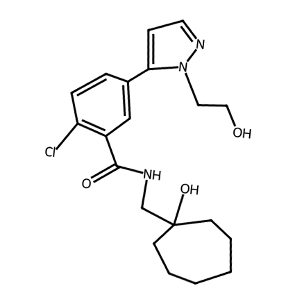 O=C(NCC1(O)CCCCCC1)c1cc(-c2ccnn2CCO)ccc1Cl